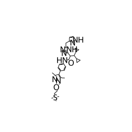 Cc1nn(COCCS(C)(C)C)c(C)c1-c1ccc(NC(=O)C(c2nnc(Cc3cc[nH]n3)[nH]2)C(C2CC2)C2CC2)cc1